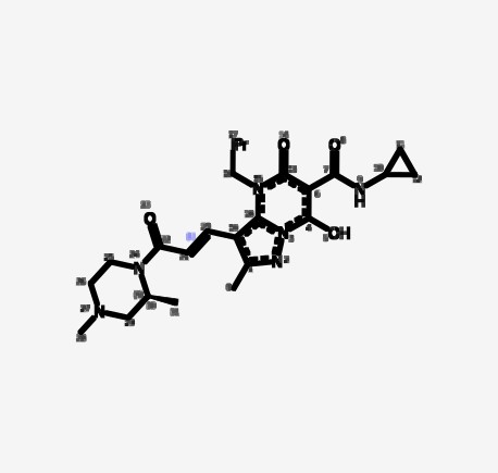 Cc1nn2c(O)c(C(=O)NC3CC3)c(=O)n(CC(C)C)c2c1/C=C/C(=O)N1CCN(C)C[C@@H]1C